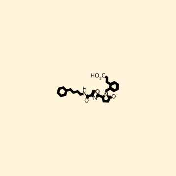 O=C(O)CCc1ccccc1CN1C(=O)CCC1c1nc(C(=O)NCCCCC2CCCCC2)co1